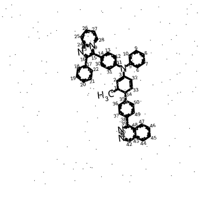 CC1C=C(N(c2ccccc2)c2ccc(-c3c(-c4ccccc4)nc4ccccn34)cc2)C=CC1c1ccc(-c2nncc3ccccc23)cc1